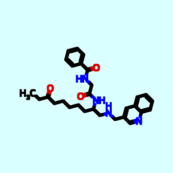 CCC(=O)CCCCCC(CNCc1cnc2ccccc2c1)NC(=O)CNC(=O)c1ccccc1